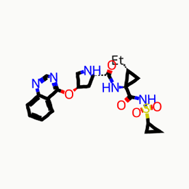 CC[C@@H]1C[C@]1(NC(=O)[C@@H]1C[C@@H](Oc2ncnc3ccccc23)CN1)C(=O)NS(=O)(=O)C1CC1